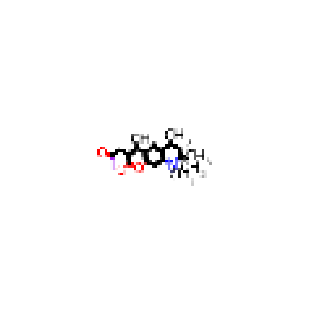 Cc1c(CC(=O)I)c(=O)oc2cc3c(cc12)C(C)CC(C)(C)N3C